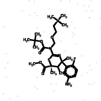 COC(=O)[C@@]1(C)SC(N(COCC[Si](C)(C)C)C(=O)OC(C)(C)C)=N[C@](C)(c2cc(N)ccc2F)C1C